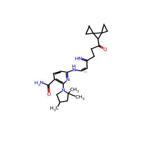 CC1CN(c2nc(N/C=C\C(=N)CCC(=O)C3C4(CC4)C34CC4)ccc2C(N)=O)C(C)(C)C1